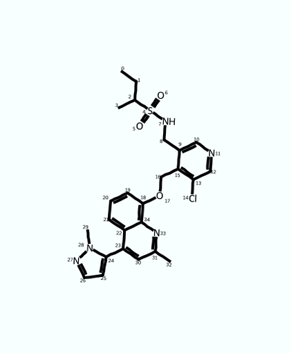 CCC(C)S(=O)(=O)NCc1cncc(Cl)c1COc1cccc2c(-c3ccnn3C)cc(C)nc12